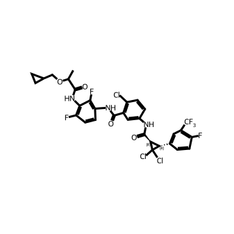 CC(OCC1CC1)C(=O)Nc1c(F)ccc(NC(=O)c2cc(NC(=O)[C@H]3[C@H](c4ccc(F)c(C(F)(F)F)c4)C3(Cl)Cl)ccc2Cl)c1F